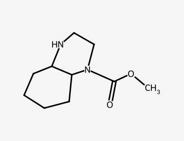 COC(=O)N1CCNC2CCCCC21